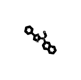 O=CN(c1ccc2ccccc2c1)c1ncc(-c2ccccc2)s1